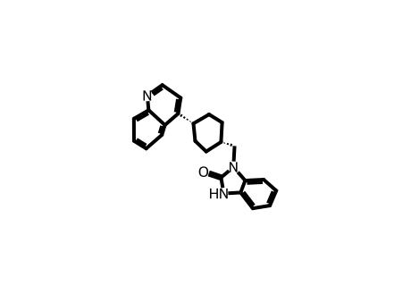 O=c1[nH]c2ccccc2n1C[C@H]1CC[C@@H](c2ccnc3ccccc32)CC1